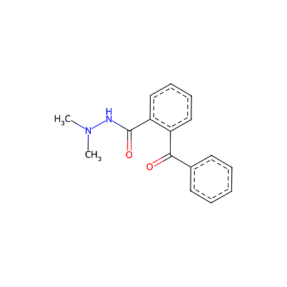 CN(C)NC(=O)c1ccccc1C(=O)c1ccccc1